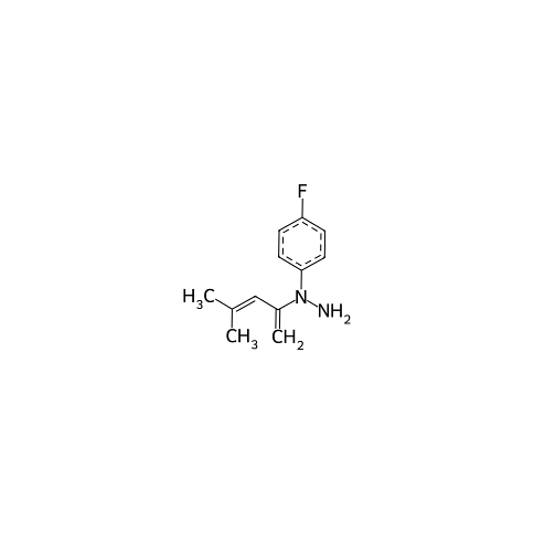 C=C(C=C(C)C)N(N)c1ccc(F)cc1